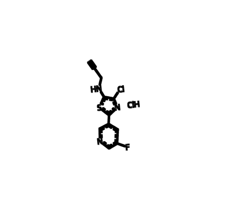 C#CCNc1sc(-c2cncc(F)c2)nc1Cl.Cl